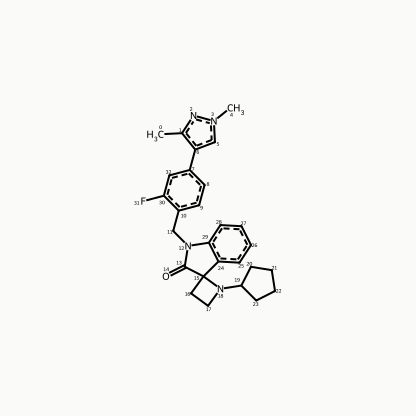 Cc1nn(C)cc1-c1ccc(CN2C(=O)C3(CCN3C3CCCC3)c3ccccc32)c(F)c1